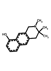 CN1Cc2cc3c(O)cccc3cc2CC1(C)C